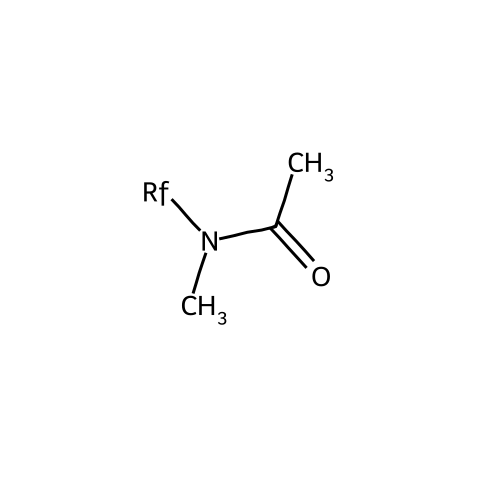 CC(=O)[N](C)[Rf]